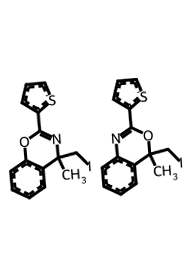 CC1(CI)N=C(c2cccs2)Oc2ccccc21.CC1(CI)OC(c2cccs2)=Nc2ccccc21